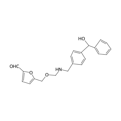 O=Cc1ccc(COCNCc2ccc(C(O)c3ccccc3)cc2)o1